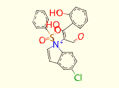 O=CC(=C(O)c1ccccc1O)[N+]1(S(=O)(=O)c2ccccc2)C=Cc2cc(Cl)ccc21